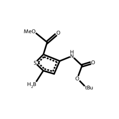 Bc1cc(NC(=O)OC(C)(C)C)c(C(=O)OC)s1